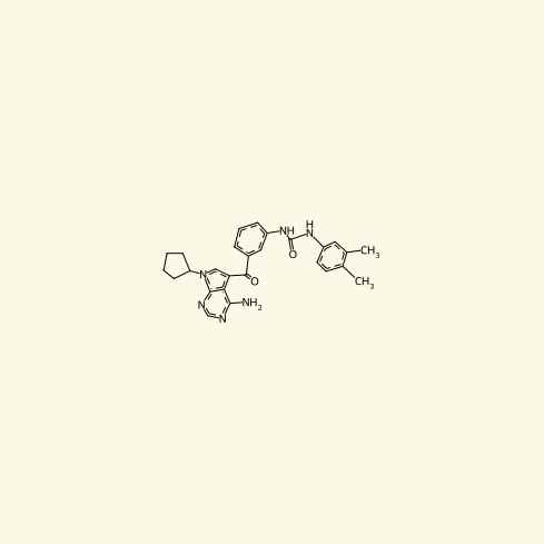 Cc1ccc(NC(=O)Nc2cccc(C(=O)c3cn(C4CCCC4)c4ncnc(N)c34)c2)cc1C